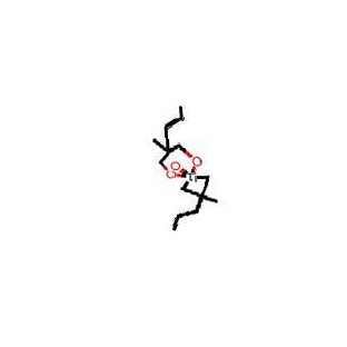 CCCC1(C)C[O][Ti]2(=[O])([CH2]C(C)(CCC)[CH2]2)[O]C1